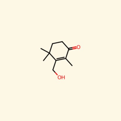 CC1=C(CO)C(C)(C)CCC1=O